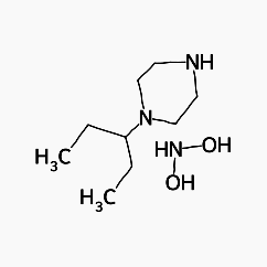 CCC(CC)N1CCNCC1.ONO